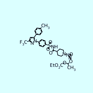 CCOC(=O)OC(C)On1on1N1CCC(C(=O)NS(=O)(=O)c2ccc(-n3nc(C(F)(F)F)cc3-c3ccc(C)cc3)cc2)CC1